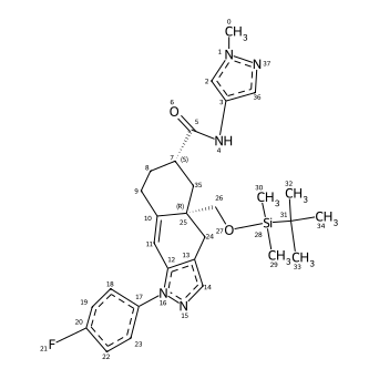 Cn1cc(NC(=O)[C@H]2CCC3=Cc4c(cnn4-c4ccc(F)cc4)C[C@]3(CO[Si](C)(C)C(C)(C)C)C2)cn1